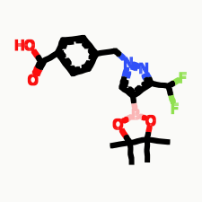 CC1(C)OB(c2cn(Cc3ccc(C(=O)O)cc3)nc2C(F)F)OC1(C)C